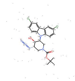 CC(C)(C)OC(=O)N1C[C@H](N=[N+]=[N-])[C@@H](O)[C@@H](n2c3ccc(Cl)cc3c3cc(Cl)ccc32)C1